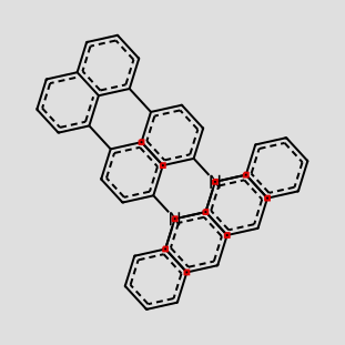 c1ccc(N(c2ccccc2)c2ccc(-c3cccc4cccc(-c5ccc(N(c6ccccc6)c6ccccc6)cc5)c34)cc2)cc1